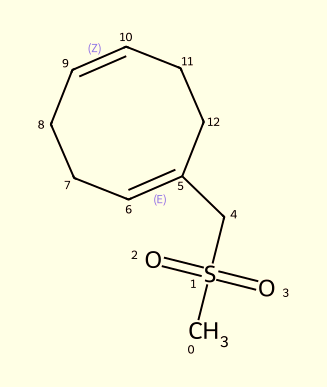 CS(=O)(=O)C/C1=C/CC/C=C\CC1